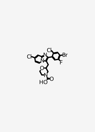 O=C(O)N1CCOC(Cc2c(-c3cc(F)c(Br)cc3Cl)nc3cc(Cl)ccn23)C1